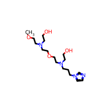 COCCN(CCO)CCOCCN(CCO)CCCn1ccnc1